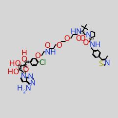 Cc1ncsc1-c1ccc(CNC(=O)[C@@H]2CCCN2C(=O)[C@@H](NC(=O)CCOCCOCCC(=O)NCCOc2cc([C@@H](O)[C@H]3O[C@@H](n4ccc5c(N)ncnc54)[C@H](O)[C@@H]3O)ccc2Cl)C(C)(C)C)cc1